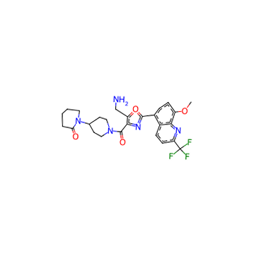 COc1ccc(-c2nc(C(=O)N3CCC(N4CCCCC4=O)CC3)c(CN)o2)c2ccc(C(F)(F)F)nc12